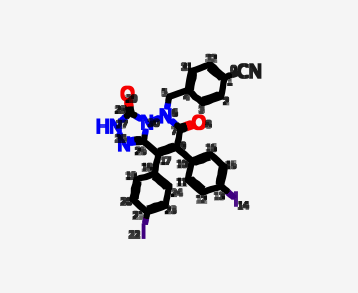 N#Cc1ccc(Cn2c(=O)c(-c3ccc(I)cc3)c(-c3ccc(I)cc3)c3n[nH]c(=O)n32)cc1